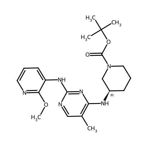 COc1ncccc1Nc1ncc(C)c(N[C@@H]2CCCN(C(=O)OC(C)(C)C)C2)n1